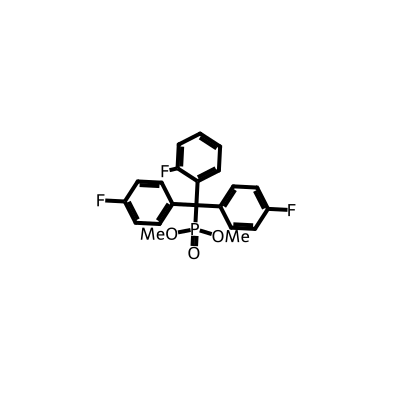 COP(=O)(OC)C(c1ccc(F)cc1)(c1ccc(F)cc1)c1ccccc1F